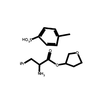 CC(C)CC(N)C(=O)OC1CCOC1.Cc1ccc(S(=O)(=O)O)cc1